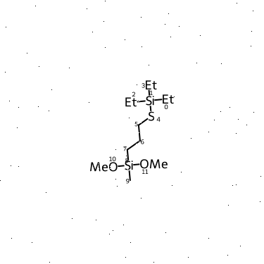 CC[Si](CC)(CC)SCCC[Si](C)(OC)OC